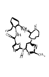 Cc1nc(Nc2ncc(C(=O)Nc3c(C)cccc3Cl)s2)cc(N2CCNC(C)C2)n1